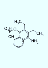 CCc1c(CC)c(O[PH](=O)O)c2ccccc2c1N